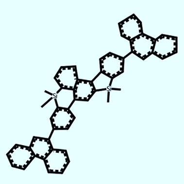 C[Si]1(C)c2cc(-c3cc4ccccc4c4ccccc34)ccc2-c2c1cc1c3c(cccc23)[Si](C)(C)c2cc(-c3cc4ccccc4c4ccccc34)ccc2-1